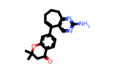 CC1(C)CC(=O)c2ccc(C3=CCCCc4nc(N)ncc43)cc2O1